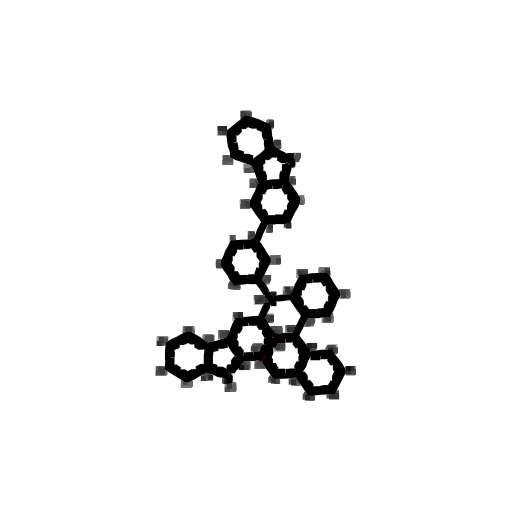 c1cc(-c2ccc3sc4ccccc4c3c2)cc(N(c2ccc3sc4ccccc4c3c2)c2ccccc2-c2cccc3ccccc23)c1